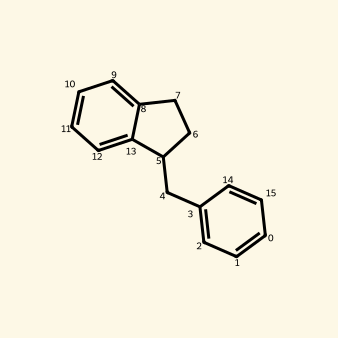 c1ccc(CC2CCc3ccccc32)cc1